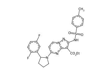 CCOC(=O)c1c(NS(=O)(=O)c2ccc(C)cc2)nn2ccc(N3CCCC3c3cc(F)ccc3F)nc12